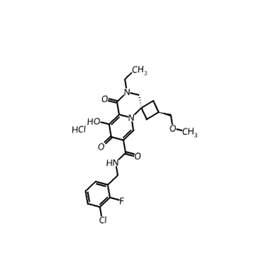 CCN1C[C@]2(C[C@H](COC)C2)n2cc(C(=O)NCc3cccc(Cl)c3F)c(=O)c(O)c2C1=O.Cl